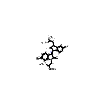 CCCCCCCCC(CCCCCC)CC1C(=O)/C(=C2/C(=O)N(CC(CCCCCC)CCCCCCCC)c3cc(Br)ccc32)c2ccc(Br)cc21